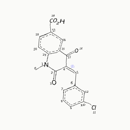 CN1C(=O)/C(=C\c2cccc(Cl)c2)C(=O)c2cc(C(=O)O)ccc21